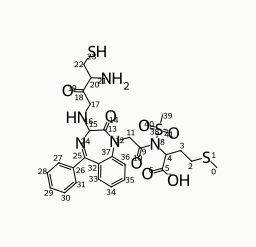 CSCCC(C(=O)O)N(C(=O)CN1C(=O)C(NCC(=O)C(N)CS)N=C(c2ccccc2)c2ccccc21)S(C)(=O)=O